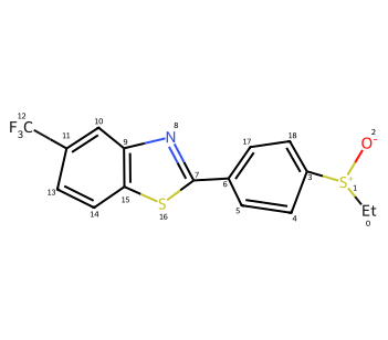 CC[S+]([O-])c1ccc(-c2nc3cc(C(F)(F)F)ccc3s2)cc1